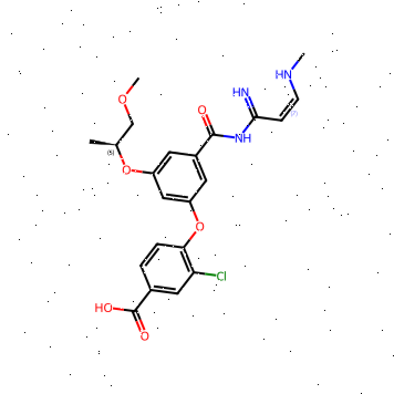 CN/C=C\C(=N)NC(=O)c1cc(Oc2ccc(C(=O)O)cc2Cl)cc(O[C@@H](C)COC)c1